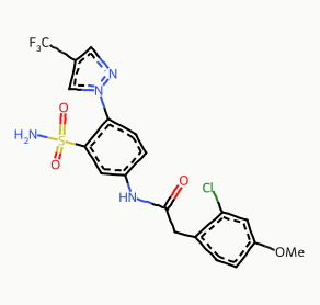 COc1ccc(CC(=O)Nc2ccc(-n3cc(C(F)(F)F)cn3)c(S(N)(=O)=O)c2)c(Cl)c1